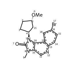 CO[C@H]1CC[C@H](n2c(=O)n(C)c3cnc4ccc(Br)cc4c32)C1